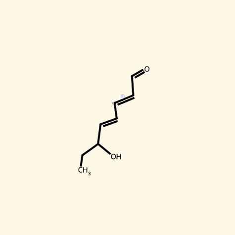 CCC(O)C=C/[C]=C/C=O